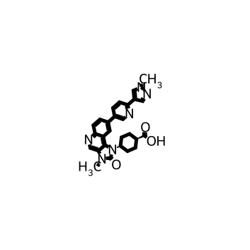 Cn1cc(-c2ccc(-c3ccc4ncc5c(c4c3)n([C@H]3CC[C@H](C(=O)O)CC3)c(=O)n5C)cn2)cn1